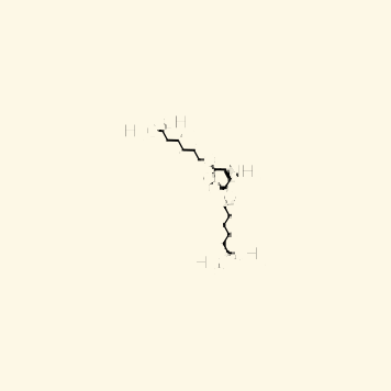 CC(C)CCCCCOC(=O)/C=C\C(=O)OCCCCCC(C)C.N